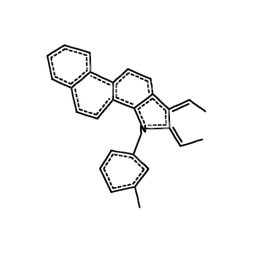 C/C=c1\c(=C/C)n(-c2cccc(C)c2)c2c1ccc1c3ccccc3ccc12